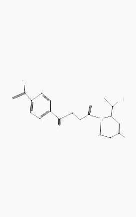 CC(C)C1CC([O])CCN1C(=O)CCC(=O)c1ccc(C(N)=S)cc1